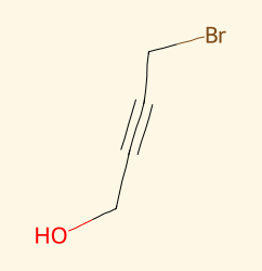 OCC#CCBr